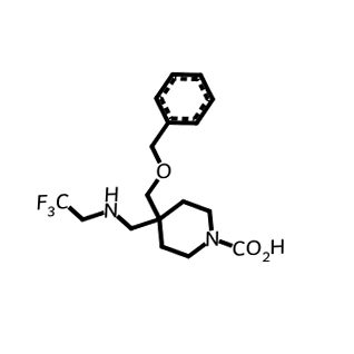 O=C(O)N1CCC(CNCC(F)(F)F)(COCc2ccccc2)CC1